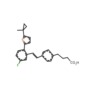 CC1(c2ccc(-c3ccc(F)cc3C=Cc3ccc(CCCC(=O)O)cc3)s2)CC1